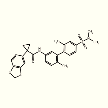 Cc1ccc(NC(=O)C2(c3ccc4c(c3)OCO4)CC2)cc1-c1ccc(S(=O)(=O)N(C)C)cc1C(F)(F)F